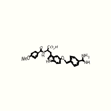 COc1ccc(C(=O)NC(Cc2c[nH]c3ccc(OCc4ccc(C(=N)N)cc4)cc23)C(=O)O)cc1